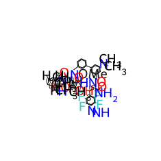 COc1c(CN2O[C@@H](CO)[C@@H]([C@H](C)O)[C@H]2C(=O)N[C@H]2C[C@H]3C[C@@H]([C@@H]2C)C3(C)C)cccc1-c1cc(C(=O)N[C@@H](Cc2c(F)c(F)c(N=N)c(F)c2F)C(N)=O)cc(N(C)C)c1